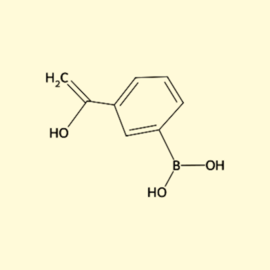 C=C(O)c1cccc(B(O)O)c1